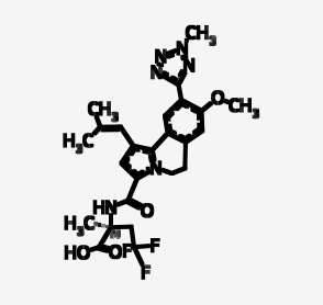 COc1cc2c(cc1-c1nnn(C)n1)-c1c(C=C(C)C)cc(C(=O)N[C@@](C)(CC(F)(F)F)C(=O)O)n1CC2